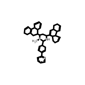 CN1C(C2CC3=C(C=CCC3)C3C=CC=CC32)CC(C2=CC3CCC=CC3C3C=CCCC23)NC1C1C=CC(c2ccccn2)=CC1